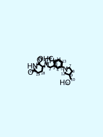 CN(Cc1cc(N2CCC(CO)C2)ccc1C=O)C1CCC(=O)NC1=O